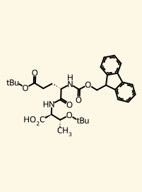 C[C@@H](OC(C)(C)C)[C@H](NC(=O)[C@H](CCC(=O)OC(C)(C)C)NC(=O)OCC1c2ccccc2-c2ccccc21)C(=O)O